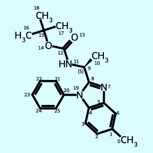 Cc1ccc2c(c1)nc([C@H](C)NC(=O)OC(C)(C)C)n2-c1ccccc1